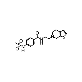 CS(=O)(=O)Nc1ccc(C(=O)NCCN2CCc3ccsc3C2)cc1